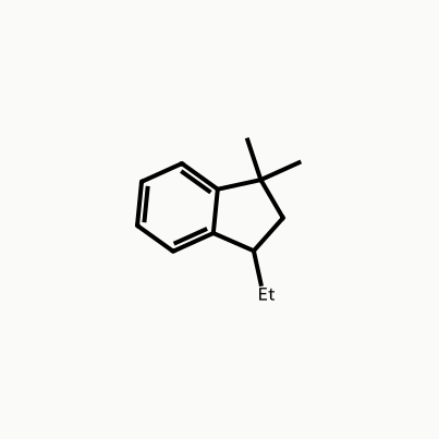 CCC1CC(C)(C)c2ccccc21